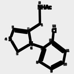 CC(=O)NCC1=CSCN1c1ccccc1Cl